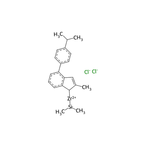 CC1=Cc2c(-c3ccc(C(C)C)cc3)cccc2[CH]1[Zr+2][Si](C)C.[Cl-].[Cl-]